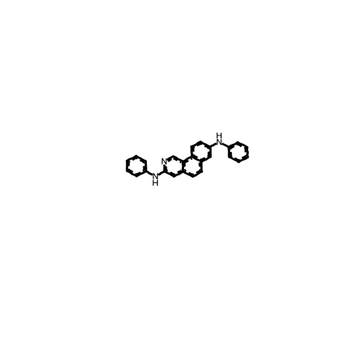 c1ccc(Nc2ccc3c(ccc4cc(Nc5ccccc5)ncc43)c2)cc1